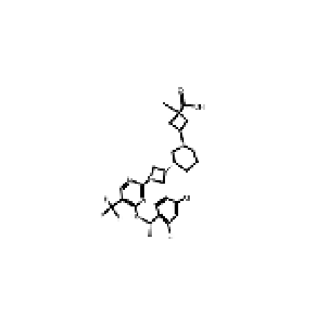 C[C@@H](Nc1nc(N2CC([C@H]3CCCN(C4CC(C)(C(=O)O)C4)C3)C2)ncc1C(F)(F)F)c1ccc(Cl)cc1Cl